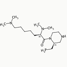 CN(C)CCCCC[C@H](C(=O)N1CCNC[C@H]1CP)N(C)C